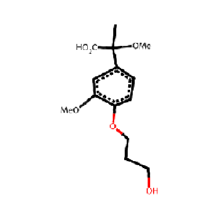 COc1cc(C(C)(OC)C(=O)O)ccc1OCCCO